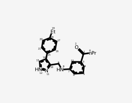 CCCC(=O)c1cccc(NCc2n[nH]cc2-c2ccc(CC)cc2)c1